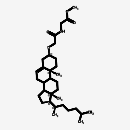 COC(=O)CNC(=O)CO[C@H]1CC[C@@]2(C)C(=CCC3C2CC[C@@]2(C)C3CC[C@@H]2[C@H](C)CCCC(C)C)C1